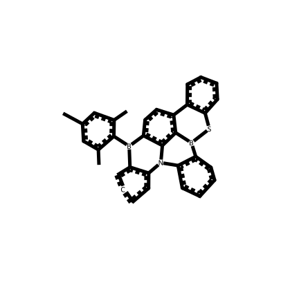 Cc1cc(C)c(B2c3ccccc3N3c4ccccc4B4Sc5ccccc5-c5ccc2c3c54)c(C)c1